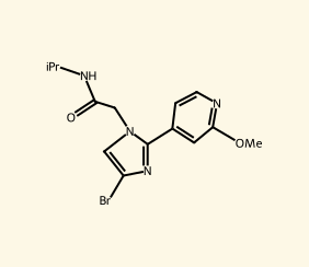 COc1cc(-c2nc(Br)cn2CC(=O)NC(C)C)ccn1